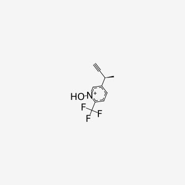 C#C[C@@H](C)c1ccc(C(F)(F)F)[n+](O)c1